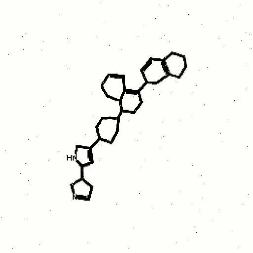 C1=CC2=C(C3C=CC4=C(CCCC4)C3)CCC(C3CCC(C4=CC(C5CC=NC5)NC4)CC3)C2CC1